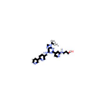 CC(C)n1cnc2c(NCc3ccc(-c4cccnc4)nc3)nc(-c3ccnc(NCCCO)c3)nc21